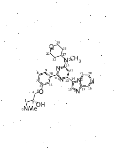 CNC[C@@H](O)COc1cccc(-c2nc(-c3cnc4cnccn34)cc(N(C)C3CCOCC3)n2)c1